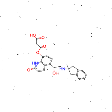 CC1(NC[C@H](O)c2ccc(OC(=O)CC(=O)O)c3[nH]c(=O)ccc23)Cc2ccccc2C1